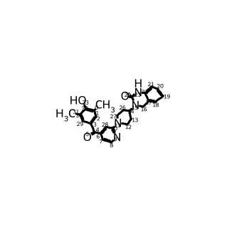 Cc1cc(C(=O)c2ccnc(N3CCC(N4Cc5ccccc5NC4=O)CC3)c2)cc(C)c1O